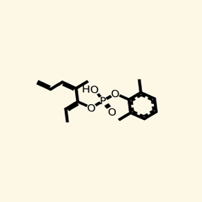 C=C/C=C(C)\C(=C\C)OP(=O)(O)Oc1c(C)cccc1C